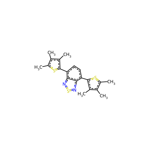 Cc1sc(-c2ccc(-c3sc(C)c(C)c3C)c3nsnc23)c(C)c1C